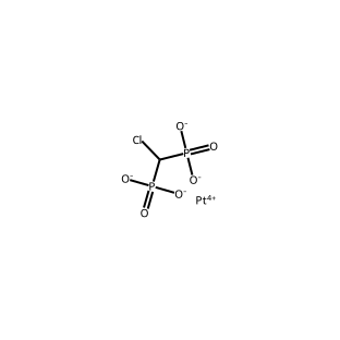 O=P([O-])([O-])C(Cl)P(=O)([O-])[O-].[Pt+4]